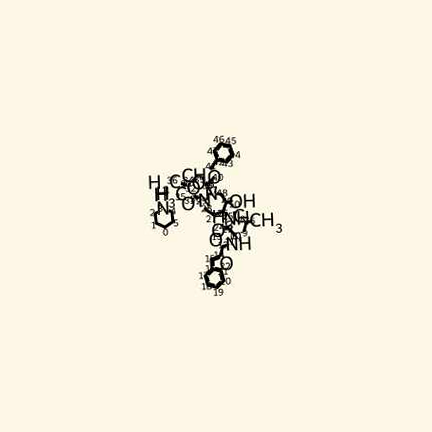 C1CCNCC1.CC(C)C[C@H](NC(=O)c1cc2ccccc2o1)C(=O)NC1CCN(C(=O)OC(C)(C)C)N(C(=O)OCc2ccccc2)CC1O